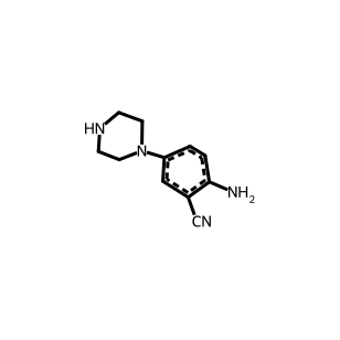 N#Cc1cc(N2CCNCC2)ccc1N